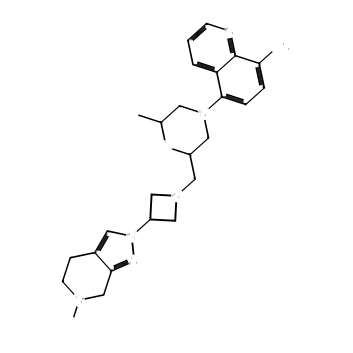 CCN1CCc2cn(C3CN(CC4CN(c5ccc(C#N)c6ncccc56)CC(C)O4)C3)nc2C1